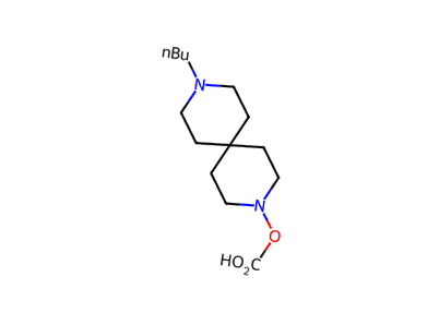 CCCCN1CCC2(CC1)CCN(OC(=O)O)CC2